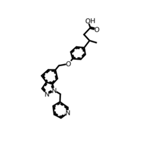 CC(CC(=O)O)c1ccc(OCc2ccc3cnn(Cc4cccnc4)c3c2)cc1